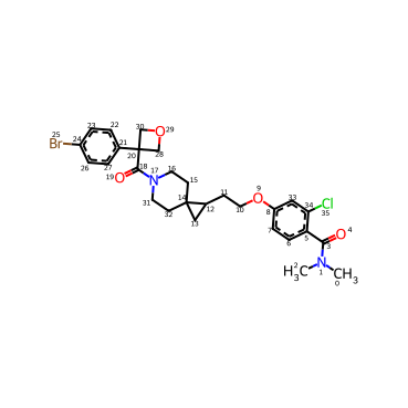 CN(C)C(=O)c1ccc(OCCC2CC23CCN(C(=O)C2(c4ccc(Br)cc4)COC2)CC3)cc1Cl